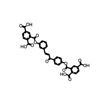 O=C(O)c1ccc(C(=O)O)c(C(=O)Oc2ccc(C(=O)C=Cc3cccc(OC(=O)c4cc(C(=O)O)ccc4C(=O)O)c3)cc2)c1